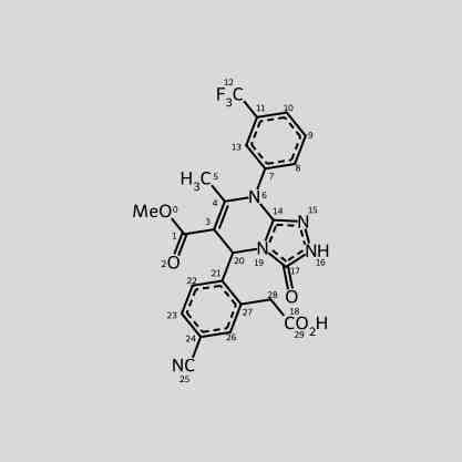 COC(=O)C1=C(C)N(c2cccc(C(F)(F)F)c2)c2n[nH]c(=O)n2C1c1ccc(C#N)cc1CC(=O)O